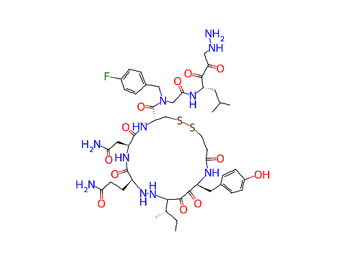 CC[C@H](C)C1NN[C@@H](CCC(N)=O)C(=O)N[C@@H](CC(N)=O)C(=O)N[C@H](C(=O)N(CC(=O)N[C@@H](CC(C)C)C(=O)C(=O)CNN)Cc2ccc(F)cc2)CSSCCC(=O)N[C@@H](Cc2ccc(O)cc2)C(=O)C1=O